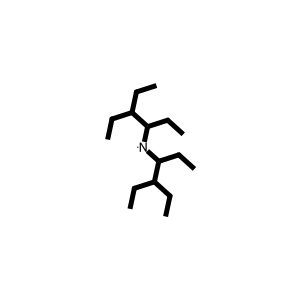 CCC(CC)C(CC)[N]C(CC)C(CC)CC